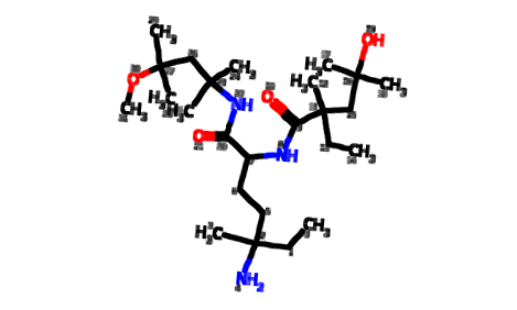 CCC(C)(N)CCC(NC(=O)C(C)(CC)CC(C)(C)O)C(=O)NC(C)(C)CC(C)(C)OC